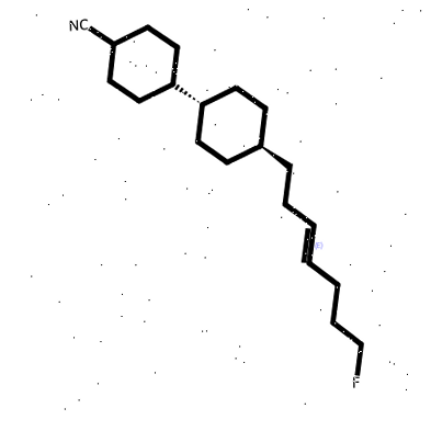 N#CC1CCC([C@H]2CC[C@H](CC/C=C/CCCF)CC2)CC1